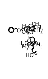 CO[C@@]1(C(C)(C)C=CC(O)=S)O[C@H](C[C@@H](O[Si](C)(C)C(C)(C)C)[C@@H](C)OCOCc2ccccc2)CCC1=O